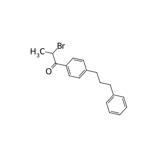 CC(Br)C(=O)c1ccc(CCCc2ccccc2)cc1